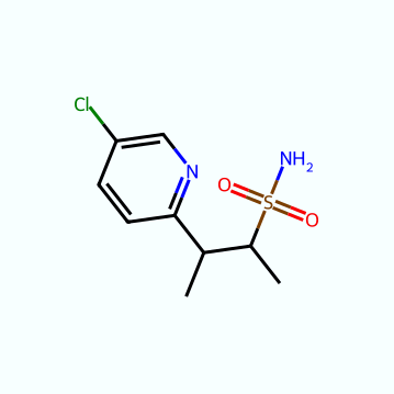 CC(c1ccc(Cl)cn1)C(C)S(N)(=O)=O